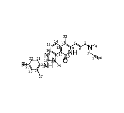 C#CCN(C)CC=Cc1[nH]c(=O)c2c(ccc3nc(Nc4ccc(F)cc4C)n(C)c32)c1C